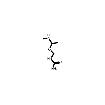 CNC(C)OCNC(N)=O